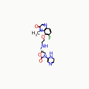 Cn1c(=O)cnc2ccc(F)c(OCCNC[C@@H]3CN(C4=CN=CCN4)C(=O)O3)c21